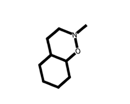 CN1CCC2CCCCC2O1